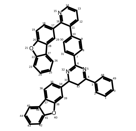 c1ccc(C2=NC(c3ccc(-c4cccnc4-c4ccc5oc6ccccc6c5c4)cc3)=NC(c3ccc4c(c3)oc3ccccc34)C2)cc1